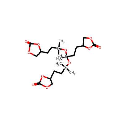 C[Si](C)(CCC1COC(=O)O1)O[Si](C)(CCC1COC(=O)O1)O[Si](C)(C)CCC1COC(=O)O1